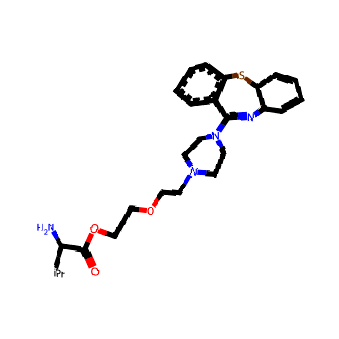 CC(C)C(N)C(=O)OCCOCCN1CCN(C2=NC3C=CC=CC3Sc3ccccc32)CC1